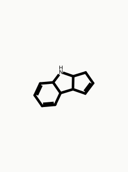 [C]1=CC=CC2NC3CC=CC3C12